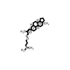 CC(C=NOCCCN(C)C)=C[C@]1(O)CC[C@@]2(C)[C@H](CC[C@H]3[C@@H]4CCC[C@@]4(C)CC[C@@H]32)C1